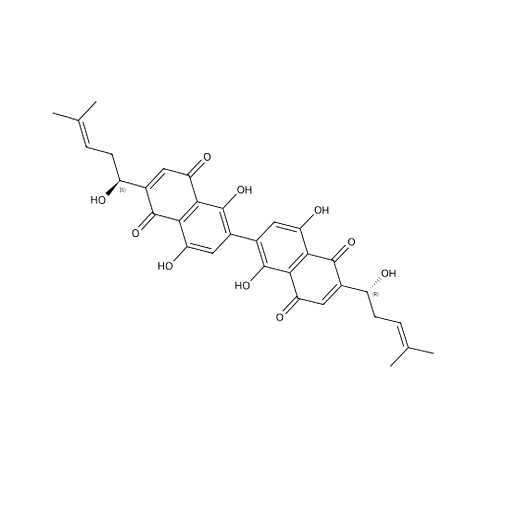 CC(C)=CC[C@@H](O)C1=CC(=O)c2c(O)c(-c3cc(O)c4c(c3O)C(=O)C=C([C@@H](O)CC=C(C)C)C4=O)cc(O)c2C1=O